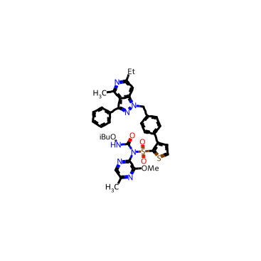 CCc1cc2c(c(C)n1)c(-c1ccccc1)nn2Cc1ccc(-c2ccsc2S(=O)(=O)N(C(=O)NOCC(C)C)c2ncc(C)nc2OC)cc1